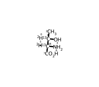 [2H][13C](C)(O)[13C@]([2H])(N)C(=O)O